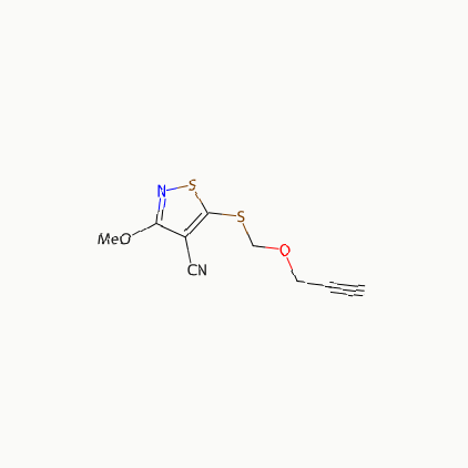 C#CCOCSc1snc(OC)c1C#N